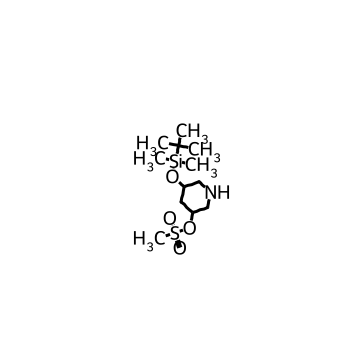 CC(C)(C)[Si](C)(C)OC1CNCC(OS(C)(=O)=O)C1